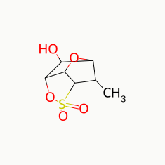 CC1C2OC3C(OS(=O)(=O)C13)C2O